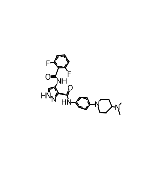 CN(C)C1CCN(c2ccc(NC(=O)c3n[nH]cc3NC(=O)c3c(F)cccc3F)cc2)CC1